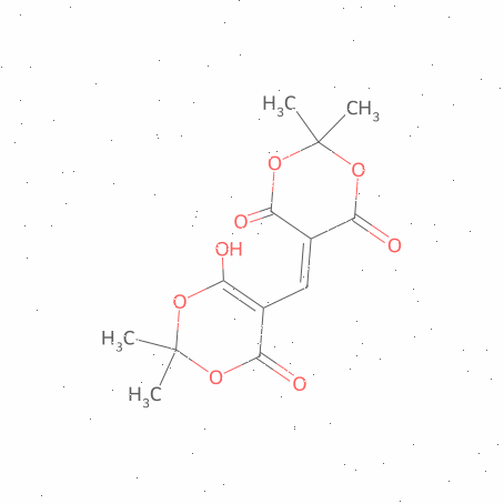 CC1(C)OC(=O)C(=CC2=C(O)OC(C)(C)OC2=O)C(=O)O1